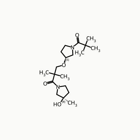 CC(C)(C)C(=O)N1CC[C@H](OCC(C)(C)C(=O)N2CC[C@@](C)(O)C2)C1